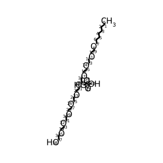 CCCCCCCCOCCOCCOCCOCCOCCOCCOCCOCCOCCOCCO.O=S(=O)(O)O